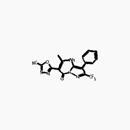 Cc1[nH]c2c(-c3ccccc3)c(C(F)(F)F)nn2c(=O)c1-c1nnc(C#N)o1